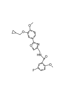 COc1ccc(-c2nc(CNC(=O)c3cc(F)ccc3OC)co2)cc1OCC1CC1